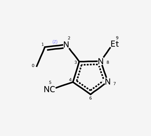 C/C=N\c1c(C#N)cnn1CC